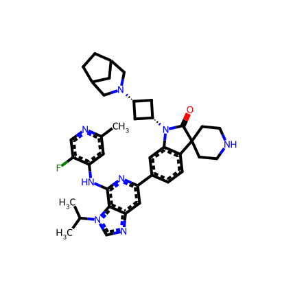 Cc1cc(Nc2nc(-c3ccc4c(c3)N([C@H]3C[C@@H](N5CC6CCC(C6)C5)C3)C(=O)C43CCNCC3)cc3ncn(C(C)C)c23)c(F)cn1